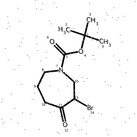 CC(C)(C)OC(=O)N1CCCC(=O)C(Br)C1